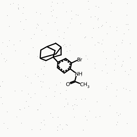 CC(=O)Nc1ccc(C23CC4CC(CC(C4)C2)C3)cc1Br